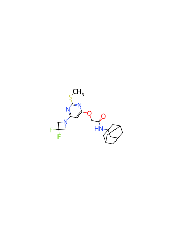 CSc1nc(OCC(=O)NC23CC4CC(CC(C4)C2)C3)cc(N2CC(F)(F)C2)n1